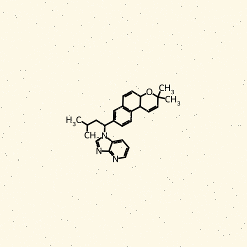 CC(C)CC(c1ccc2c(c1)C=CC1OC(C)(C)C=CC21)n1cnc2ncccc21